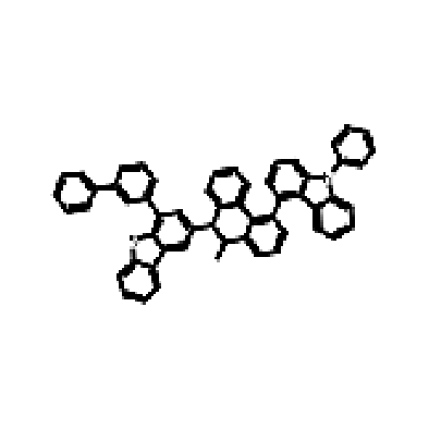 CC1c2cccc(-c3cccc4c3c3ccccc3n4-c3ccccc3)c2-c2ccccc2C1c1cc(-c2cccc(-c3ccccc3)c2)c2sc3ccccc3c2c1